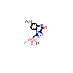 CCOP(=O)(Cc1nnc2c(=O)[nH]c3cc([N+](=O)[O-])ccc3n12)OCC